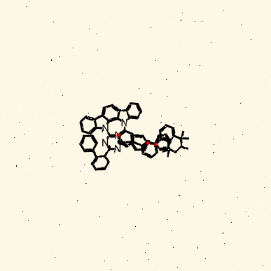 CC1CC(C)(C)c2c(-c3cccc(-c4cccc(-n5c6ccccc6c6ccc7c8ccccc8n(-c8nc(-c9ccc(-c%10ccccc%10)cc9)nc(C9CC=CC=C9c9ccccc9)n8)c7c65)c4)c3)cccc2C1(C)C